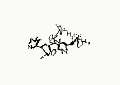 CC(C)(F)C#Cc1cnc2c(c1)C1(COC(N)=N1)c1cc(-c3cncnc3)c(F)cc1O2